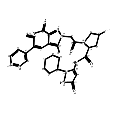 C=C/C(=C\c1c(C(N)=O)nn(CC(=O)N2CC(F)CC2C(=O)Nc2cc(=O)[nH]n2C2CCCCC2)c1C)c1ccnnc1